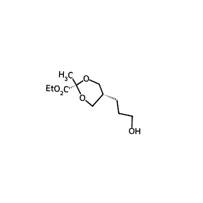 CCOC(=O)[C@]1(C)OC[C@H](CCCO)CO1